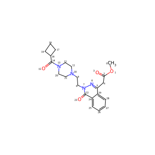 COC(=O)Cc1nn(CCN2CCN(C(=O)C3CCC3)CC2)c(=O)c2ccccc12